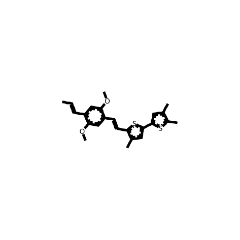 C/C=C/c1cc(OC)c(/C=C/c2sc(-c3cc(C)c(C)s3)cc2C)cc1OC